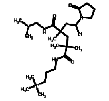 CCC(CC(C)(CC(C)(C)C(=O)NCCC[N+](C)(C)C)C(=O)NCN(C)C)N1CCCC1=O